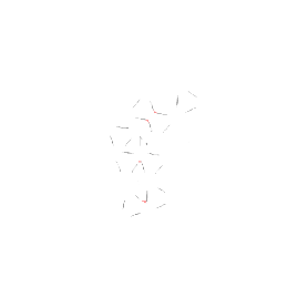 c1ccc(-c2ccccc2N(c2ccc3c(c2)C2(CCCC2)c2ccccc2-3)c2ccc3c(c2)C2(c4ccccc4CCc4ccccc42)c2ccccc2-3)cc1